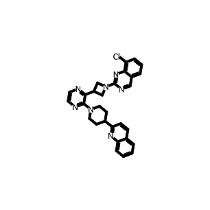 Clc1cccc2cnc(N3CC(c4nccnc4N4CCC(c5ccc6ccccc6n5)CC4)C3)nc12